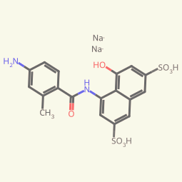 Cc1cc(N)ccc1C(=O)Nc1cc(S(=O)(=O)O)cc2cc(S(=O)(=O)O)cc(O)c12.[Na].[Na]